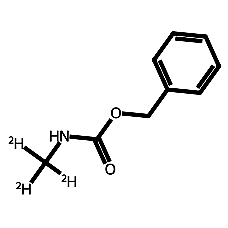 [2H]C([2H])([2H])NC(=O)OCc1ccccc1